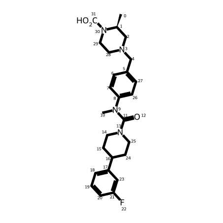 C[C@H]1CN(Cc2ccc(N(C)C(=O)N3CCC(c4cccc(F)c4)CC3)cc2)CCN1C(=O)O